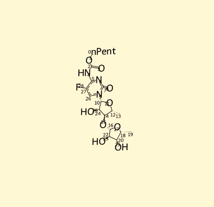 CCCCCOC(=O)Nc1nc(=O)n([C@@H]2O[C@H](C)[C@@H](O[C@@H]3O[C@H](C)[C@@H](O)[C@H]3O)[C@H]2O)cc1F